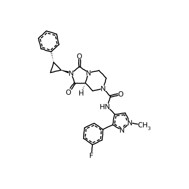 Cn1cc(NC(=O)N2CCN3C(=O)N([C@H]4C[C@@H]4c4ccccc4)C(=O)[C@@H]3C2)c(-c2cccc(F)c2)n1